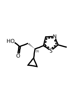 Cc1ncc([C@@H](CC(=O)O)C2CC2)s1